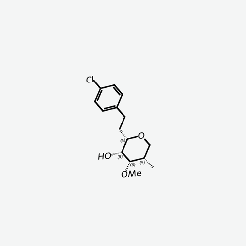 CO[C@@H]1[C@H](O)[C@H](CCc2ccc(Cl)cc2)OC[C@@H]1C